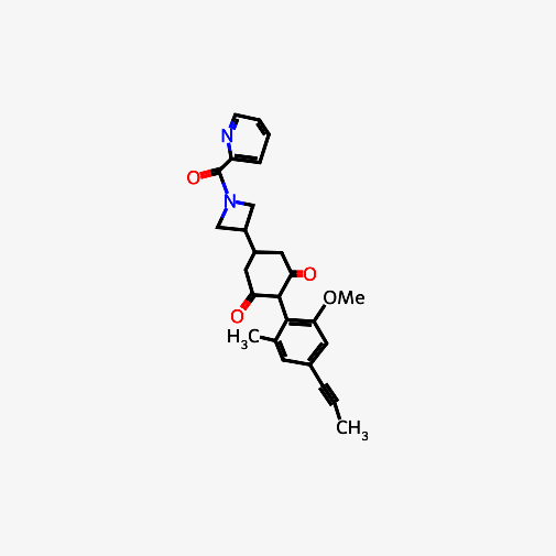 CC#Cc1cc(C)c(C2C(=O)CC(C3CN(C(=O)c4ccccn4)C3)CC2=O)c(OC)c1